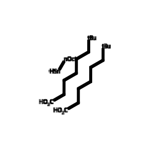 CC(C)(C)CCCCCC(=O)O.CC(C)(C)CCCCCC(=O)O.CCCCCCC[CH2][SnH]